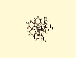 CC(C)(C)c1ccccc1P1(c2ccccc2)(c2ccccc2C(C)(C)C)OCO1